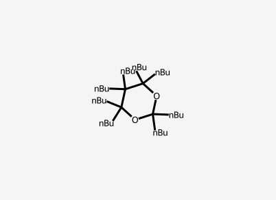 CCCCC1(CCCC)OC(CCCC)(CCCC)C(CCCC)(CCCC)C(CCCC)(CCCC)O1